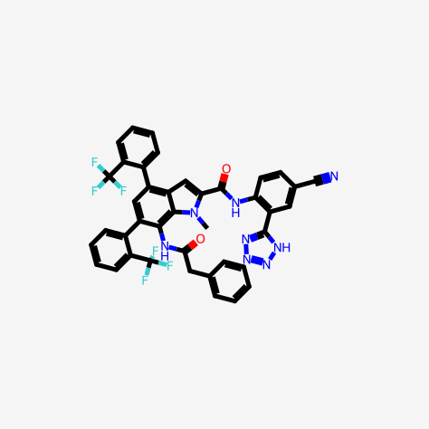 Cn1c(C(=O)Nc2ccc(C#N)cc2-c2nnn[nH]2)cc2c(-c3ccccc3C(F)(F)F)cc(-c3ccccc3C(F)(F)F)c(NC(=O)Cc3ccccc3)c21